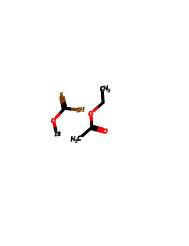 CCOC(=S)S.CCOC(C)=O